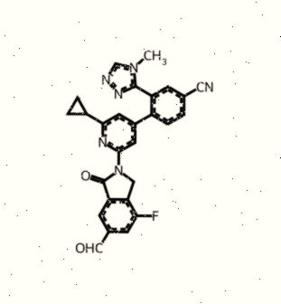 Cn1cnnc1-c1cc(C#N)ccc1-c1cc(C2CC2)nc(N2Cc3c(F)cc(C=O)cc3C2=O)c1